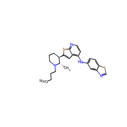 COCCCN1CCC[C@@H](c2cc3c(Nc4ccc5scnc5c4)ccnc3s2)[C@@H]1C